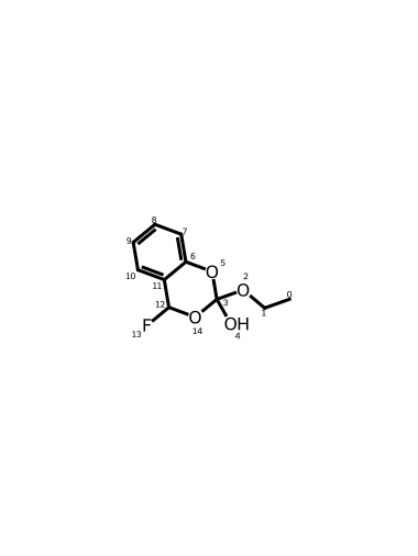 CCOC1(O)Oc2ccccc2C(F)O1